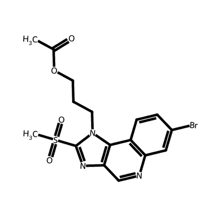 CC(=O)OCCCn1c(S(C)(=O)=O)nc2cnc3cc(Br)ccc3c21